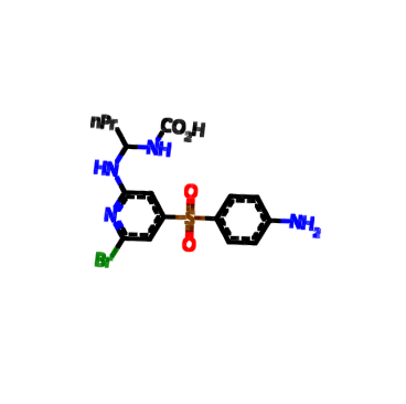 CCCC(NC(=O)O)Nc1cc(S(=O)(=O)c2ccc(N)cc2)cc(Br)n1